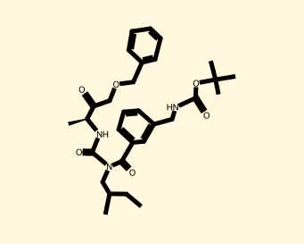 CCC(C)CN(C(=O)N[C@@H](C)C(=O)COCc1ccccc1)C(=O)c1cccc(CNC(=O)OC(C)(C)C)c1